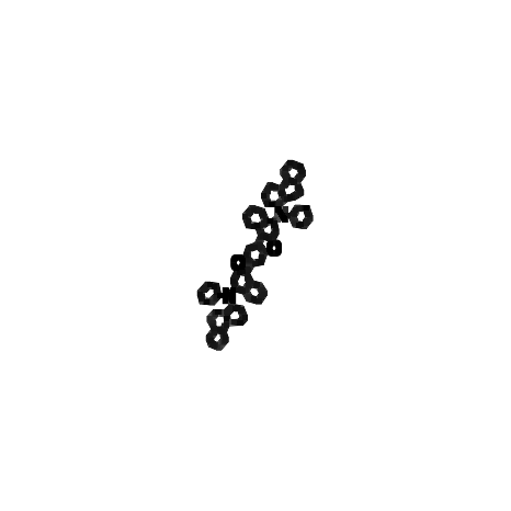 c1ccc(N(c2cccc3c2ccc2ccccc23)c2cc3oc4cc5c(cc4c3c3ccccc23)oc2cc(N(c3ccccc3)c3cccc4c3ccc3ccccc34)c3ccccc3c25)cc1